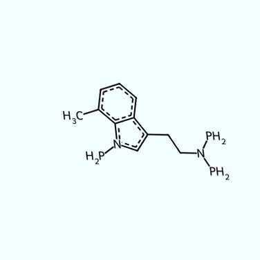 Cc1cccc2c(CCN(P)P)cn(P)c12